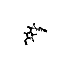 C#CCNB(C)C(=C)c1c(C)c(C=C)n(C)c1C